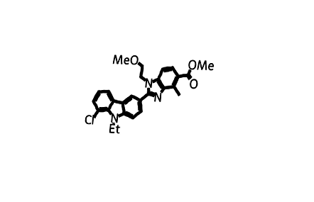 CCn1c2ccc(-c3nc4c(C)c(C(=O)OC)ccc4n3CCOC)cc2c2cccc(Cl)c21